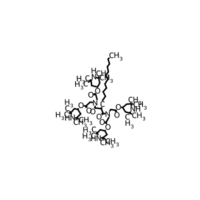 CCCCCCCCCCCCCC(C(=O)N(CC(=O)OC1CC(C)(C)NC(C)(C)C1)CC(=O)OC1CC(C)(C)NC(C)(C)C1)C(=O)N(CC(=O)OC1CC(C)(C)NC(C)(C)C1)CC(=O)OC1CC(C)(C)NC(C)(C)C1